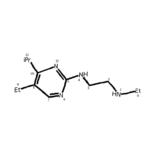 CCNCCNc1ncc(CC)c(C(C)C)n1